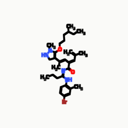 C=C(C)/C=C(\C=C(/C)C1=C(OCCCC(C)CC)N(C)NC1)C(=O)/N=C(/CCC)Nc1ccc(Br)cc1C